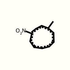 Cc1ccccccc([N+](=O)[O-])cc1